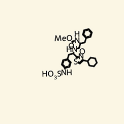 COC(=O)NC(Cc1ccccc1)C(=O)NC(Cc1ccc(NS(=O)(=O)O)cc1)c1nc(C2CCCCC2)cs1